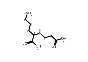 NCCCC(NCCC(=O)O)C(=O)O